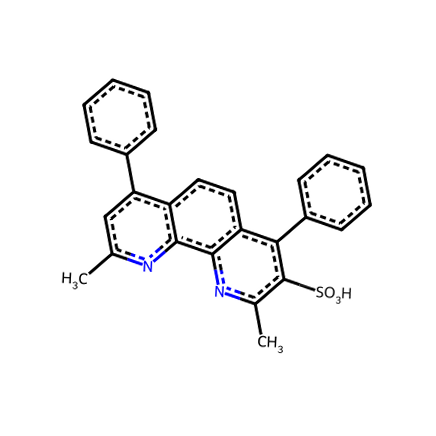 Cc1cc(-c2ccccc2)c2ccc3c(-c4ccccc4)c(S(=O)(=O)O)c(C)nc3c2n1